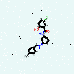 CC(C)c1ccc(CNc2cccc(NC(=O)c3cc(Cl)ccc3O)c2)cc1